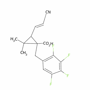 CC1(C)C(C=CC#N)C1(Cc1cc(F)c(F)c(F)c1F)C(=O)O